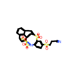 N#CCCS(=O)(=O)c1ccc2c(c1)S(=O)(=O)c1cc3c4c(cccc4c1)C1C=C3S(=O)(=O)N2S1(=O)=O